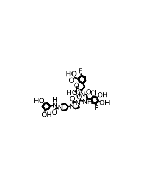 O=C(O)c1c(F)ccc2c1OB(O)C(NC(=O)C(NC(=O)N1CCN(C3CCN(C(=O)Nc4cc(O)cc(O)c4)CC3)C1=O)c1cc(F)c(O)c(O)c1Cl)C2